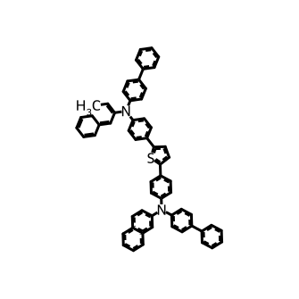 C/C=C(\C=C1\C=CC=CC1)N(c1ccc(-c2ccccc2)cc1)c1ccc(-c2ccc(-c3ccc(N(c4ccc(-c5ccccc5)cc4)c4ccc5ccccc5c4)cc3)s2)cc1